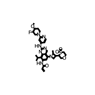 C=CC(=O)Nc1cc(N2CC(C3COCCS3(=O)=O)C2C)c2cnc(Nc3ccnc(N4CC[C@@H](OC)[C@@H](F)C4)c3)nc2c1C(C)C